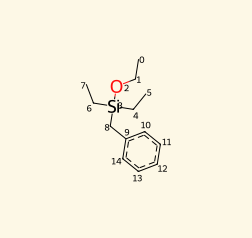 CCO[Si](CC)(CC)Cc1ccccc1